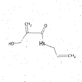 C=CCNC(=O)C(=C)CO